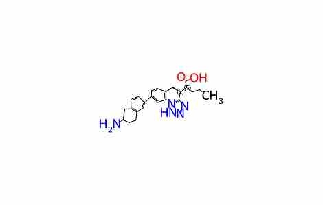 CCC[C@H](C(=O)O)[C@H](Cc1ccc(-c2ccc3c(c2)CCC(N)C3)cc1)c1nn[nH]n1